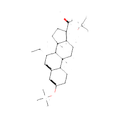 CC[C@@H]1C=C2C=C(O[Si](C)(C)C)CC[C@@H]2[C@H]2CC[C@@]3(C)[C@@H](CC[C@@]3(O[Si](C)(C)C)C(C)=O)[C@@H]21